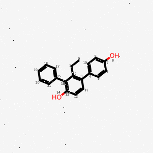 CCc1c(-c2ccc(O)cc2)ccc(O)c1-c1ccccc1